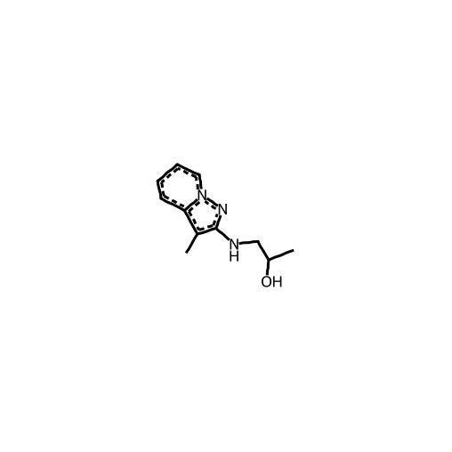 Cc1c(NCC(C)O)nn2ccccc12